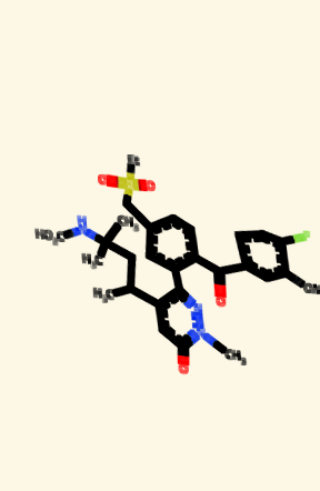 CCS(=O)(=O)Cc1ccc(C(=O)c2ccc(F)c(OC)c2)c(-c2nn(C)c(=O)cc2C(C)CC(C)(C)NC(=O)O)c1